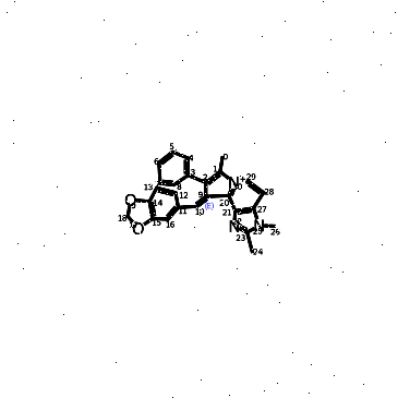 CC1=C(c2ccccc2)/C(=C\c2ccc3c(c2)OCO3)c2c3nc(C)n(C)c3cc[n+]21